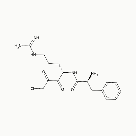 N=C(N)NCCC[C@H](NC(=O)[C@@H](N)Cc1ccccc1)C(=O)C(=O)CCl